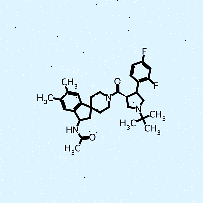 CC(=O)NC1CC2(CCN(C(=O)[C@@H]3CN(C(C)(C)C)CC3c3ccc(F)cc3F)CC2)c2cc(C)c(C)cc21